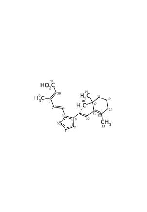 CC(C=Cc1sccc1C=CC1=C(C)CCCC1(C)C)=CC(=O)O